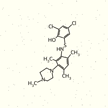 Cc1cc(C)c(N2CCN(C)CC2)c(C)c1NSc1cc(Cl)cc(Cl)c1O